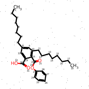 CCCCCCCCc1cc(CCCCCCCC)c(C(=O)Oc2ccccc2)c(C(=O)O)c1